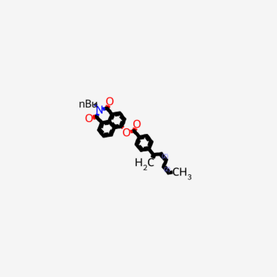 C=C(/C=C\C=C/C)c1ccc(C(=O)Oc2ccc3c4c(cccc24)C(=O)N(CCCC)C3=O)cc1